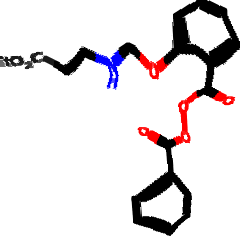 CCOC(=O)CCNCOc1ccccc1C(=O)OOC(=O)c1ccccc1